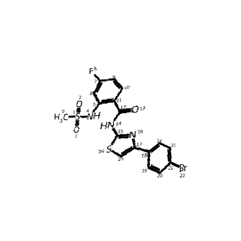 CS(=O)(=O)Nc1cc(F)ccc1C(=O)Nc1nc(-c2ccc(Br)cc2)cs1